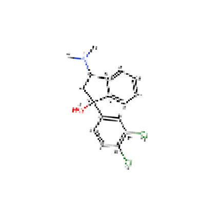 CN(C)C1CC(O)(c2ccc(Cl)c(Cl)c2)c2ccccc21